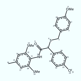 COc1ccc(CSC(C(=O)Nc2c(SC)cc(C)nc2SC)c2ccc(C(F)(F)F)cc2)cc1